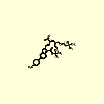 CN1CCN(c2ccc3c(c2)cc(/C=C/C(=C\N(C=O)COCC[Si](C)(C)C)[N+](=O)[O-])n3C(=O)OC(C)(C)C)CC1